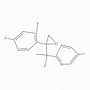 Cc1ccc(C(C)(F)C2(c3ccc(F)cc3F)CO2)nc1